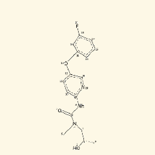 C[C@H](O)CN(C)C(=O)Nc1ccc(Oc2cccc(F)c2)cn1